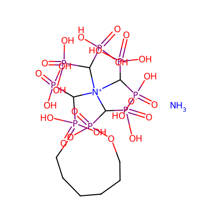 N.O=P([O-])(O)C([N+](C(P(=O)(O)O)P(=O)(O)O)(C(P(=O)(O)O)P(=O)(O)O)C(P(=O)(O)O)P(=O)(O)O)P1(=O)OCCCCCCO1